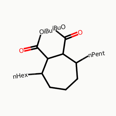 CCCCCCC1CCCC(CCCCC)C(C(=O)OCC(C)C)C1C(=O)OCC(C)C